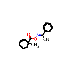 CC1(C(=O)O/N=C(\C#N)c2ccccc2)C=CC=CC1